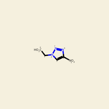 O=C(O)Cn1cc([N+](=O)[O-])nn1